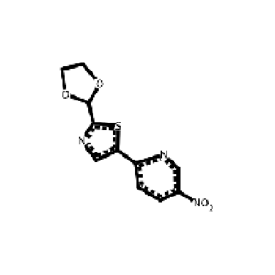 O=[N+]([O-])c1ccc(-c2cnc(C3OCCO3)s2)nc1